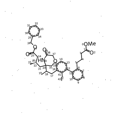 COC(=O)CCCc1ccccc1-c1cccc(CC(C)C2(C[C@@H](C)CC(=O)OCc3ccccc3)COCC(=O)N2)c1F